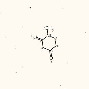 CN1CCC(=O)CC1=O